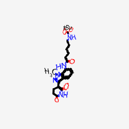 Cn1nc(C2CCC(=O)NC2=O)c2cccc(NC(=O)CCCCCNC(=O)OC(C)(C)C)c21